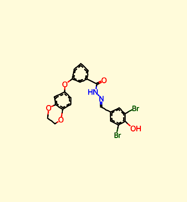 O=C(NN=Cc1cc(Br)c(O)c(Br)c1)c1cccc(Oc2ccc3c(c2)OCCO3)c1